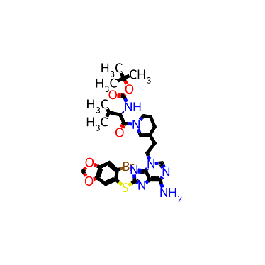 CC(C)[C@H](NC(=O)OC(C)(C)C)C(=O)N1CCCC(CCn2cnc(N)c3nc(Sc4cc5c(cc4Br)OCO5)nc2-3)C1